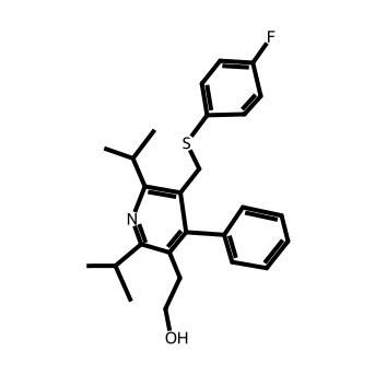 CC(C)c1nc(C(C)C)c(CSc2ccc(F)cc2)c(-c2ccccc2)c1CCO